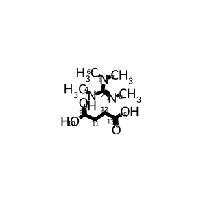 CN=C(NC)N(C)C.O=C(O)CCC(=O)O